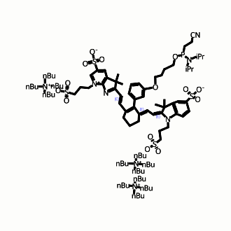 CC(C)N(C(C)C)P(CCC#N)OCCCCOc1cccc(C2=C(/C=C/C3=Nc4c(cc(S(=O)(=O)[O-])c[n+]4CCCS(=O)(=O)[O-])C3(C)C)CCC/C2=C\C=C2\N(CCCS(=O)(=O)[O-])c3ccc(S(=O)(=O)[O-])cc3C2(C)C)c1.CCCC[N+](CCCC)(CCCC)CCCC.CCCC[N+](CCCC)(CCCC)CCCC.CCCC[N+](CCCC)(CCCC)CCCC